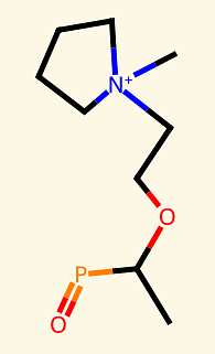 CC(OCC[N+]1(C)CCCC1)P=O